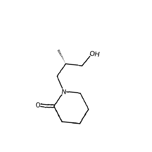 C[C@H](CO)CN1CCCCC1=O